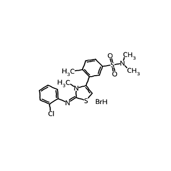 Br.Cc1ccc(S(=O)(=O)N(C)C)cc1-c1csc(=Nc2ccccc2Cl)n1C